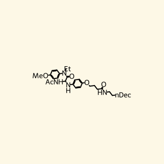 CCCCCCCCCCCCNC(=O)CCCOc1ccc(NC(NC(C)=O)C(=O)N(CC)c2ccc(OC)cc2)cc1